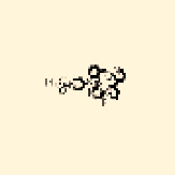 CC(=O)N1CCC(Nc2ncc(F)c(N3CCC=C(c4cccnc4OCc4ccccc4)C3)n2)CC1